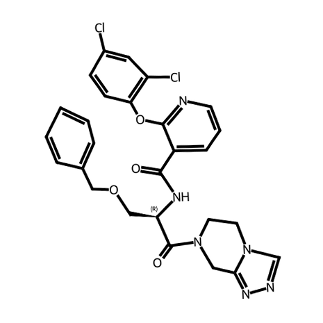 O=C(N[C@H](COCc1ccccc1)C(=O)N1CCn2cnnc2C1)c1cccnc1Oc1ccc(Cl)cc1Cl